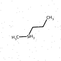 CCC[SiH2]C